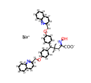 CC(C)(CC(=NO)C(=O)[O-])C(c1ccc(OCc2ccc3ccccc3n2)cc1)c1ccc(OCc2ccc3ccccc3n2)cc1.[Na+]